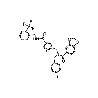 Cc1ccc(CN(Cc2cc(C(=O)NCc3ccccc3C(F)(F)F)no2)C(=O)c2ccc3c(c2)OCO3)cc1